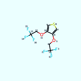 FC(F)(F)COc1cscc1OCC(F)(F)F